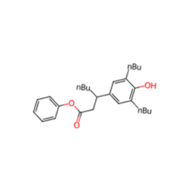 CCCCc1cc(C(CCCC)CC(=O)Oc2ccccc2)cc(CCCC)c1O